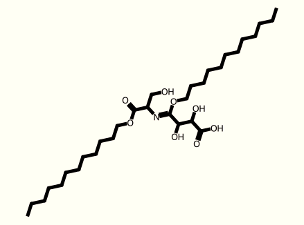 CCCCCCCCCCCCOC(=O)C(CO)N=C(OCCCCCCCCCCCC)C(O)C(O)C(=O)O